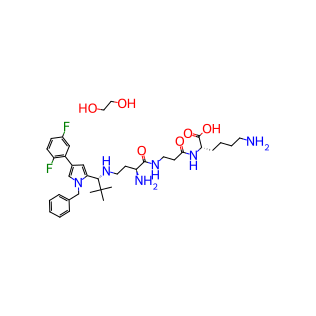 CC(C)(C)[C@@H](NCC[C@H](N)C(=O)NCCC(=O)N[C@@H](CCCCN)C(=O)O)c1cc(-c2cc(F)ccc2F)cn1Cc1ccccc1.OCCO